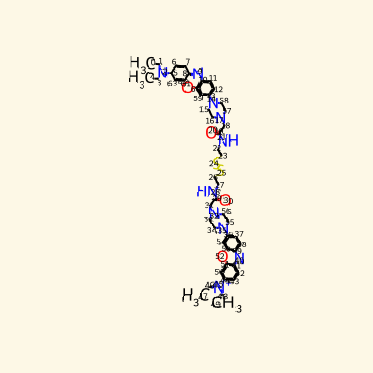 CCN(CC)C1C=CC2=Nc3ccc(N4CCN(CC(=O)NCCSSCCNC(=O)CN5CCN(c6ccc7nc8ccc(=[N+](CC)CC)cc-8oc7c6)CC5)CC4)cc3OC2=C1